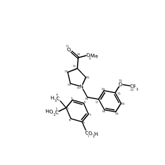 CC1(C(=O)O)C=CC=C(C(=O)O)C1.COC(=O)C1CCN(Cc2cccc(OC(F)(F)F)c2)C1